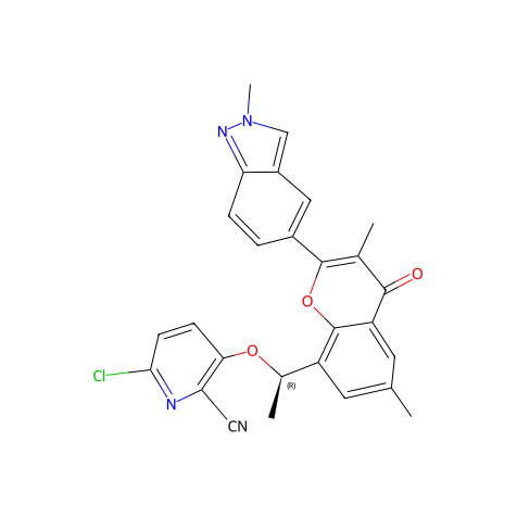 Cc1cc([C@@H](C)Oc2ccc(Cl)nc2C#N)c2oc(-c3ccc4nn(C)cc4c3)c(C)c(=O)c2c1